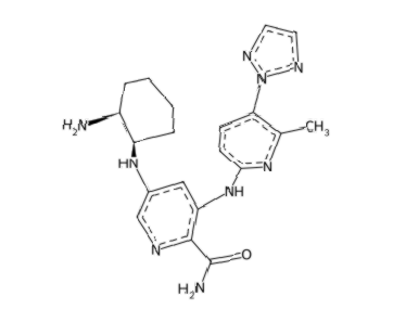 Cc1nc(Nc2cc(N[C@@H]3CCCC[C@@H]3N)cnc2C(N)=O)ccc1-n1nccn1